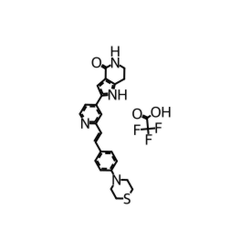 O=C(O)C(F)(F)F.O=C1NCCc2[nH]c(-c3ccnc(C=Cc4ccc(N5CCSCC5)cc4)c3)cc21